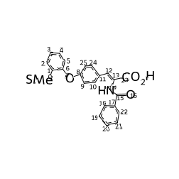 CSc1ccccc1Oc1ccc(C=C(NC(=O)c2ccccc2)C(=O)O)cc1